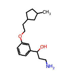 CC1CCC(CCOc2cccc(C(O)CCN)c2)C1